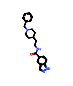 O=C(NCCC1CCN(Cc2ccccc2)CC1)c1ccc2[nH]ncc2c1